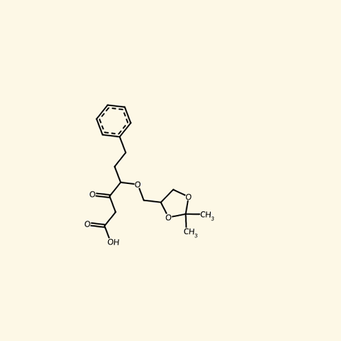 CC1(C)OCC(COC(CCc2ccccc2)C(=O)CC(=O)O)O1